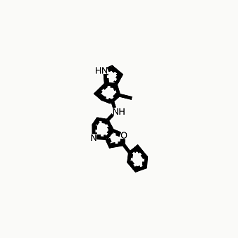 Cc1c(Nc2ccnc3cc(-c4ccccc4)oc23)ccc2[nH]ccc12